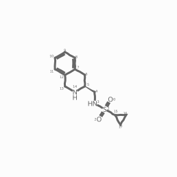 O=S(=O)(NC[C@@H]1Cc2ccccc2CN1)C1CC1